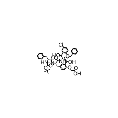 CC(C)(C)OC(=O)N[C@@H](Cc1ccccc1)C(=O)N[C@@H](Cc1ccc(OCC(=O)O)c(C(=O)O)c1)C(=O)NCC(O)c1cc(Cl)ccc1OCc1ccccc1